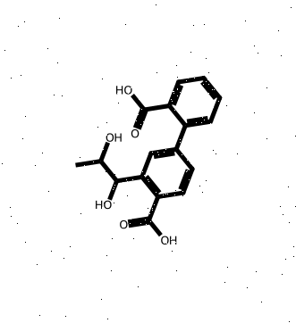 CC(O)C(O)c1cc(-c2ccccc2C(=O)O)ccc1C(=O)O